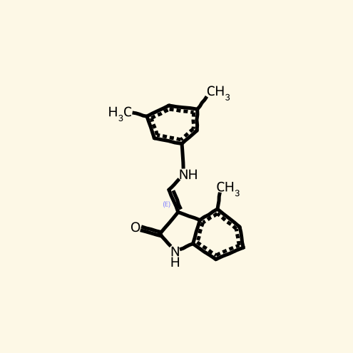 Cc1cc(C)cc(N/C=C2/C(=O)Nc3cccc(C)c32)c1